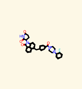 O=C1CCC(N2C(=O)c3cccc4c(Cc5ccc(C(=O)N6CCN(c7ccccc7F)CC6)cc5)ccc2c34)C(=O)N1